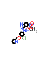 COc1c([N+](=O)[O-])ccc2ncnc(Nc3ccc(OCc4ccccn4)c(Cl)c3)c12